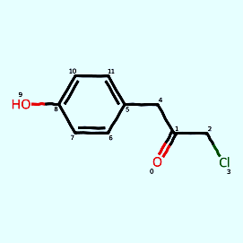 O=C(CCl)Cc1ccc(O)cc1